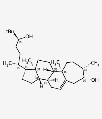 C[C@H](CC[C@H](O)C(C)(C)C)[C@H]1CC[C@H]2[C@@H]3CC=C4C[C@@H](O)[C@@H](C(F)(F)F)CC[C@]4(C)[C@H]3CC[C@]12C